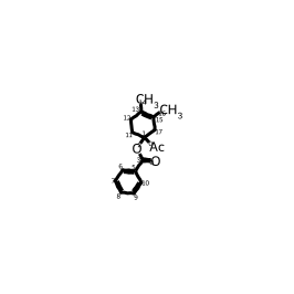 CC(=O)C1(OC(=O)c2ccccc2)CCC(C)=C(C)C1